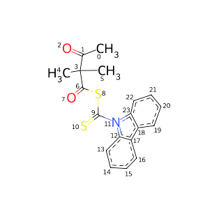 CC(=O)C(C)(C)C(=O)SC(=S)n1c2ccccc2c2ccccc21